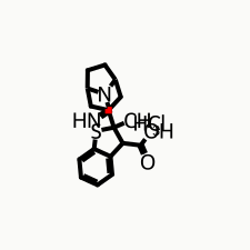 CC1(C2CC3CCC(C2)N3C=N)Sc2ccccc2C1C(=O)O.Cl